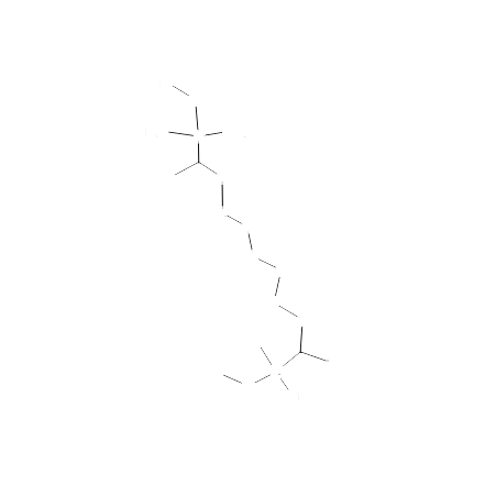 CCO[Si](C)(C)C(CC)SSSSSSSC(CC)[Si](C)(C)OCC